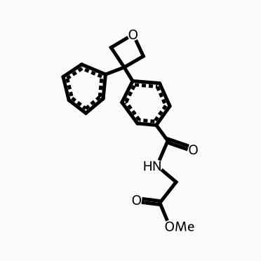 COC(=O)CNC(=O)c1ccc(C2(c3ccccc3)COC2)cc1